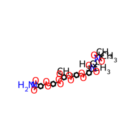 COc1cc(OC(=O)c2ccc(OC(=O)c3ccc4c(c3)C(=O)N(C(C)(C)CCN3C(=O)C(C)=C(C)C3=O)C4=O)cc2)ccc1OC(=O)c1ccc(OC(=O)c2ccc3c(c2)C(=O)N(N)C3=O)cc1